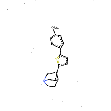 COc1ccc(-c2ccc(C3CN4CCC3CC4)s2)cc1